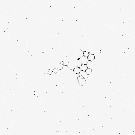 CN1CC2(C1)CN(CC1(COc3nc(N4C5CCC4CNC5)c4c5c(c(-c6ncc(F)c7sc(N)c(C#N)c67)c(F)c4n3)COC5)CC1)C2